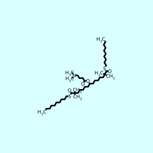 CCCCCCCCCCSC(=O)C(C)(C)CCCCCC(CCCCCC(C)(C)C(=O)SCCCCCCCCCC)OC(=O)CCCN(C)C